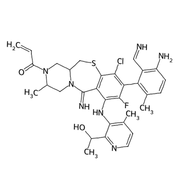 C=CC(=O)N1CC2CSc3c(Cl)c(-c4c(C)ccc(N)c4C=N)c(F)c(Nc4c(C)ccnc4C(C)O)c3C(=N)N2CC1C